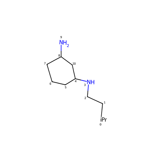 CC(C)CCNC1CCCC(N)C1